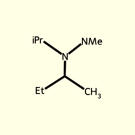 [CH2]NN(C(C)C)C(C)CC